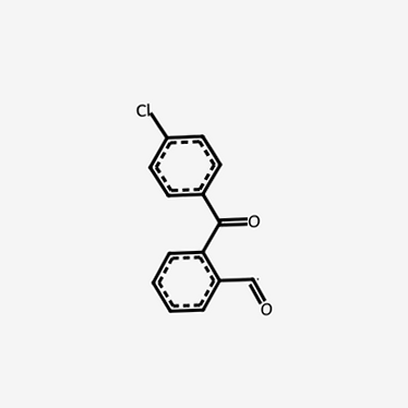 O=[C]c1ccccc1C(=O)c1ccc(Cl)cc1